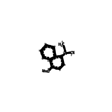 COc1ccc(N(C)C#N)c2ccccc12